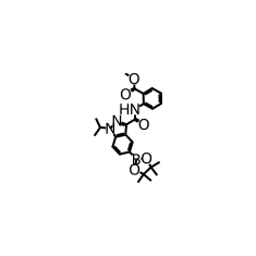 COC(=O)c1ccccc1NC(=O)c1nn(C(C)C)c2ccc(B3OC(C)(C)C(C)(C)O3)cc12